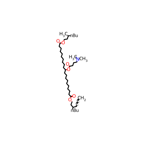 C=C=C=CC(CCCC)CCOC(=O)CCCCCCCCCC(CCCCCCCCCC(=O)OCCC(C)CCCC)OC(=O)CCCN(C)C